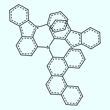 c1ccc(-n2c3ccccc3c3cccc(N(c4cc5ccc6ccccc6c5c5ccccc45)c4cccc5c4sc4ccccc45)c32)cc1